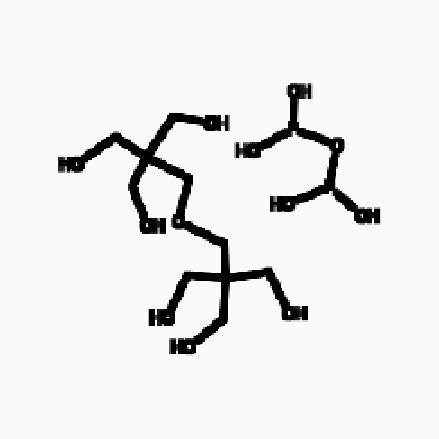 OCC(CO)(CO)COCC(CO)(CO)CO.OP(O)OP(O)O